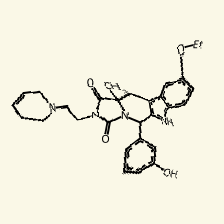 CCOc1ccc2[nH]c3c(c2c1)CC1(C)C(=O)N(CCN2CC=CCC2)C(=O)N1C3c1cccc(O)c1